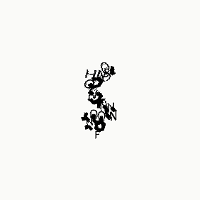 CC(C)N(C(=O)c1cc(F)ccc1Oc1cncnc1N1CC2(CCN(C[C@@H]3CC[C@@H](NS(=O)(=O)C(C)C)CO3)CC2)C1)C(C)C